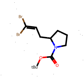 CC(C)(C)OC(=O)N1CCCC1CC=C(Br)Br